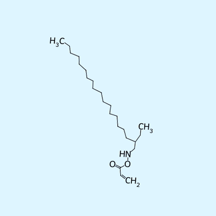 C=CC(=O)ONCC(CC)CCCCCCCCCCCCCCCCC